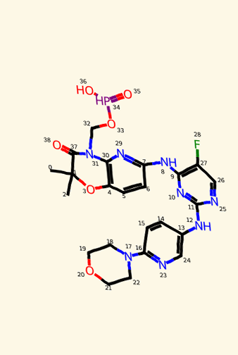 CC1(C)Oc2ccc(Nc3nc(Nc4ccc(N5CCOCC5)nc4)ncc3F)nc2N(CO[PH](=O)O)C1=O